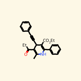 CCOC(=O)C1=C(c2ccccc2)NC(C)=C(C(=O)CC)C1C#Cc1ccccc1